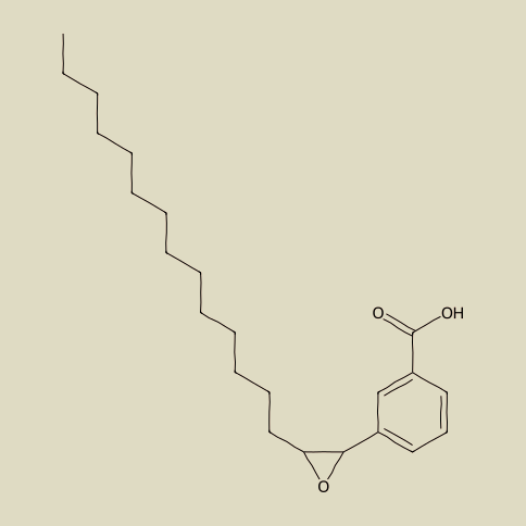 CCCCCCCCCCCCCCC1OC1c1cccc(C(=O)O)c1